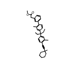 CCC(CC)(c1ccc(C#CC2(C)CCCCC2)c(C)c1)c1ccc(-c2cccc(CC(=O)OC)c2)c(C)c1